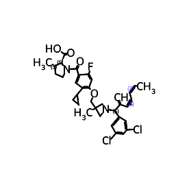 C=C(/C=C\C=C/C)[C@@H](c1cc(Cl)cc(Cl)c1)N1CC(C)(COc2cc(F)c(C(=O)N3CC[C@H](C)[C@H]3C(=O)O)cc2C2CC2)C1